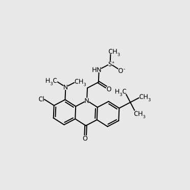 CN(C)c1c(Cl)ccc2c(=O)c3ccc(C(C)(C)C)cc3n(CC(=O)N[S+](C)[O-])c12